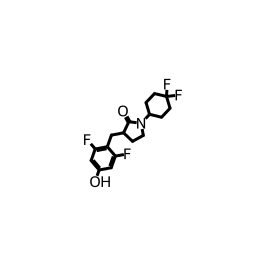 O=C1C(Cc2c(F)cc(O)cc2F)CCN1C1CCC(F)(F)CC1